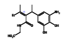 CC/C(C)=C(\C(=O)NCC(=O)O)C(C)c1cc(N)c(O)c(O)c1